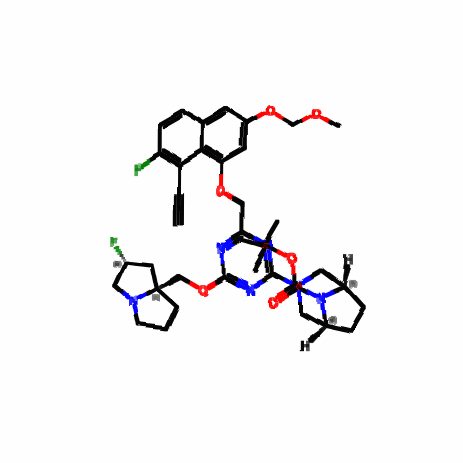 C#Cc1c(F)ccc2cc(OCOC)cc(OCc3nc(OC[C@@]45CCCN4C[C@H](F)C5)nc(N4C[C@H]5CC[C@@H](C4)N5C(=O)OC(C)(C)C)n3)c12